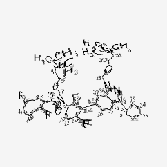 C[Si](C)(C)CCOCN(c1ccc(F)c(-c2ccc3c(-c4ccccc4)nn(COCC[Si](C)(C)C)c3c2)c1F)S(=O)(=O)c1cc(F)ccc1F